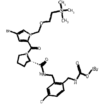 CC(C)(C)OC(=O)NCc1ccc(Cl)cc1CNC(=O)[C@@H]1CCCN1C(=O)c1cc(Br)cn1COCC[Si](C)(C)C